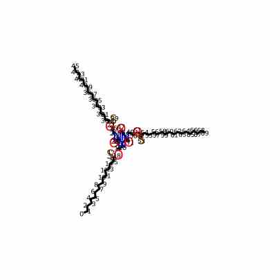 CCCCCCCCCCCCCCCCC(=S)OCCn1c(=O)n(CCOC(=S)CCCCCCCCCCCCCCCC)c(=O)n(CCOC(=S)CCCCCCCCCCCCCCCC)c1=O